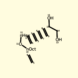 C=C.C=C.C=C.C=C.C=C.CCCCCCCCOCCCCCC.OCCO